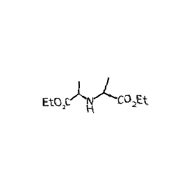 CCOC(=O)C(C)NC(C)C(=O)OCC